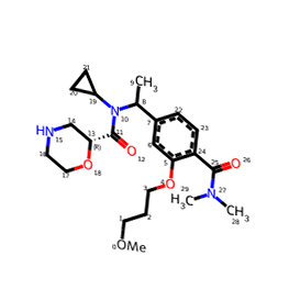 COCCCOc1cc(C(C)N(C(=O)[C@H]2CNCCO2)C2CC2)ccc1C(=O)N(C)C